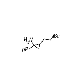 CCCC1(N)CC1CCC(C)CC